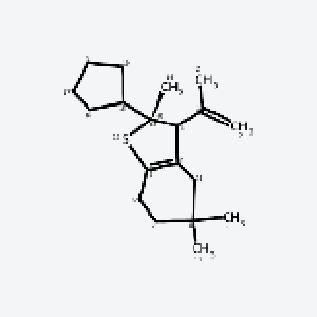 C=C(C)C1C2=C(CCC(C)(C)C2)S[C@]1(C)C1CCCC1